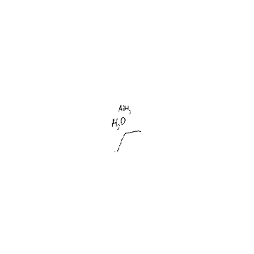 O.[AlH3].[CH2]CC